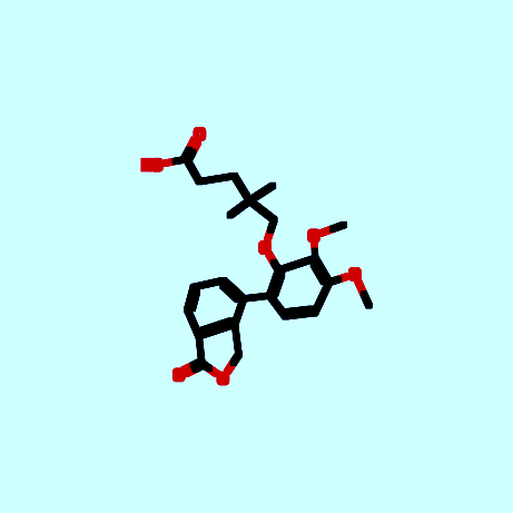 COc1ccc(-c2cccc3c2COC3=O)c(OCC(C)(C)CCC(=O)O)c1OC